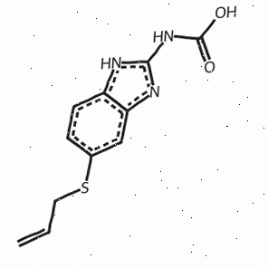 C=CCSc1ccc2[nH]c(NC(=O)O)nc2c1